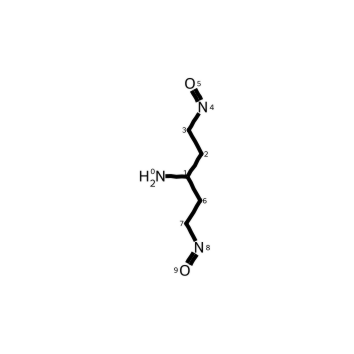 NC(CCN=O)CCN=O